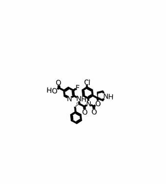 O=C(O)c1cnc(N[C@@H](Cc2ccccc2)C(=O)N2C(=O)O[C@]3(CCNC3)c3cc(Cl)ccc32)c(F)c1